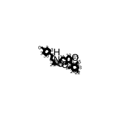 Cc1ccc(/C=C/C2(NC(=O)CC3CC(=O)C(c4c(C)cc(C)cc4C)C3=O)CC2)cc1